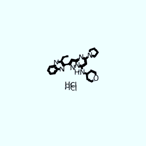 CCc1nc2ccccc2nc1-c1cc2nc(N3CCCC3)cc(NC3CCOCC3)n2n1.Cl.Cl